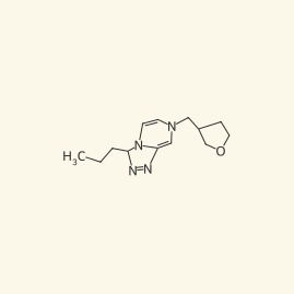 CCCC1N=NC2=CN(CC3CCOC3)C=CN21